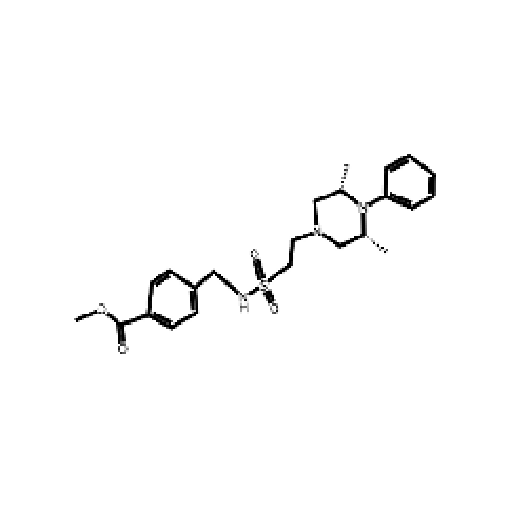 COC(=O)c1ccc(CNS(=O)(=O)CCN2C[C@@H](C)N(c3ccccc3)[C@@H](C)C2)cc1